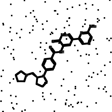 C=C(/C=C(/NC(=O)c1ccc(N2CCC[C@H]2CN2CCCC2)cc1)C(=O)NC)c1cncc(NC)n1